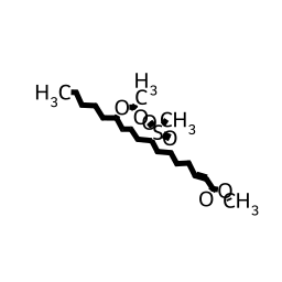 CCCCCC(CCCC(CCCCC=CC(=O)OC)S(C)(=O)=O)OC(C)=O